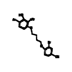 CCCc1c(OCCCCOc2ccc(C#N)cc2Br)ccc(C(C)=O)c1O